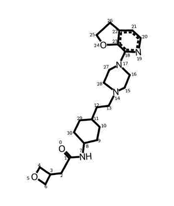 O=C(CC1COC1)NC1CCC(CCN2CCN(c3nccc4c3OCC4)CC2)CC1